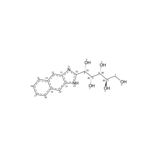 OC[C@@H](O)[C@@H](O)[C@H](O)[C@@H](O)c1nc2cc3ccccc3cc2[nH]1